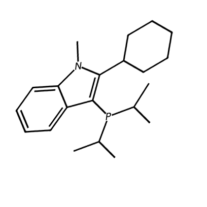 CC(C)P(c1c(C2CCCCC2)n(C)c2ccccc12)C(C)C